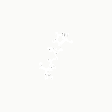 Cc1[nH]cnc1C[S+]([O-])CCNC(N)=S